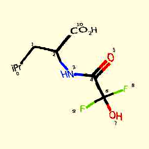 CC(C)CC(NC(=O)C(O)(F)F)C(=O)O